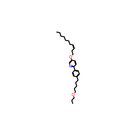 CCCCCCC/C=C\CCOc1ccc(-c2ccc(CCCCCOCCC)cc2)nc1